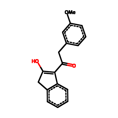 COc1cccc(CC(=O)C2=C(O)Cc3ccccc32)c1